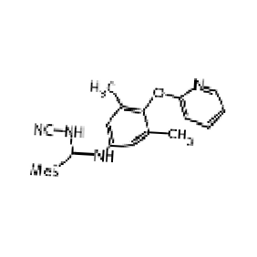 CSC(NC#N)Nc1cc(C)c(Oc2ccccn2)c(C)c1